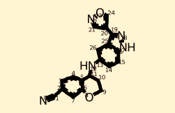 N#Cc1ccc2c(c1)OCCC2Nc1ccc2[nH]nc(-c3cnoc3)c2c1